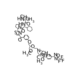 CCN(CCOC(COC)COc1cccc(C(=O)c2csc(C3CCCN3C(=O)C(NC(=O)C(C)NC)C3CCCCC3)n2)c1)C[C@@H](C)NC(=O)c1ccc(-c2noc(C(F)(F)F)n2)cc1